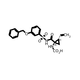 C=C[C@@H]1C[C@]1(NC(=O)O)C(=O)NS(=O)(=O)c1cccc(OCc2ccccc2)c1